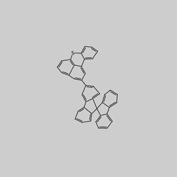 c1ccc2c(c1)Sc1cccc3cc(-c4ccc5c(c4)-c4ccccc4C54c5ccccc5-c5ccccc54)cc-2c13